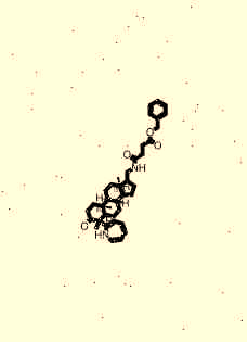 CC1(C2=CC=CC=CN2)C(=O)CC[C@]2(C)[C@H]3CC[C@]4(C)C(CNC(=O)CCC(=O)OCc5ccccc5)CC[C@H]4[C@@H]3CC[C@@H]12